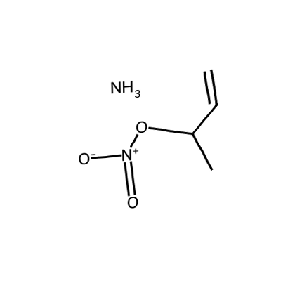 C=CC(C)O[N+](=O)[O-].N